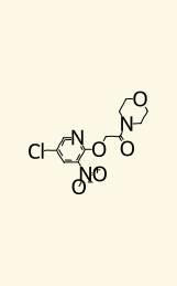 O=C(COc1ncc(Cl)cc1[N+](=O)[O-])N1CCOCC1